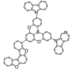 c1ccc2c(c1)oc1ccc3oc4c(-c5cc6c7c(c5)Oc5cc(-n8c9ccccc9c9ccncc98)ccc5B7c5ccc(-n7c8ccccc8c8ccccc87)cc5O6)cccc4c3c12